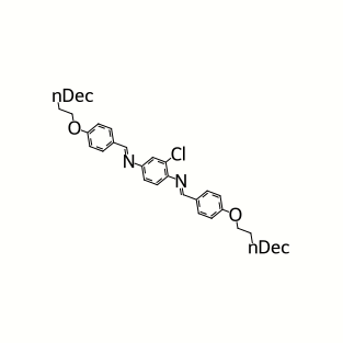 CCCCCCCCCCCCOc1ccc(C=Nc2ccc(N=Cc3ccc(OCCCCCCCCCCCC)cc3)c(Cl)c2)cc1